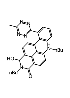 CCCCNc1ccc2c3c(ccc(-c4ccccc4-c4nnc(C)nn4)c13)C(O)N(CCCC)C2=O